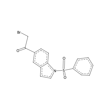 O=C(CBr)c1ccc2c(ccn2S(=O)(=O)c2ccccc2)c1